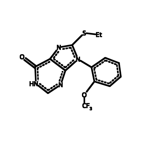 CCSc1nc2c(=O)[nH]cnc2n1-c1ccccc1OC(F)(F)F